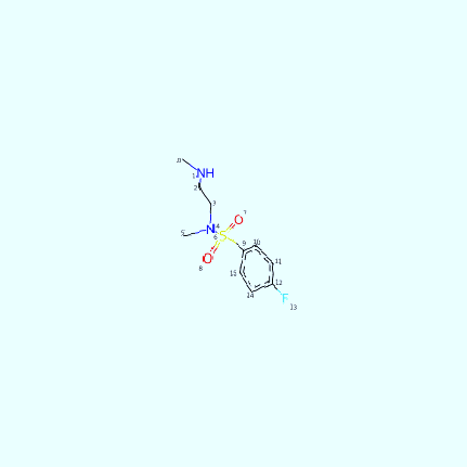 CNCCN(C)S(=O)(=O)c1ccc(F)cc1